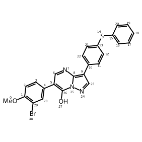 COc1ccc(-c2cnc3c(-c4ccc(Sc5ccccc5)cc4)cnn3c2O)cc1Br